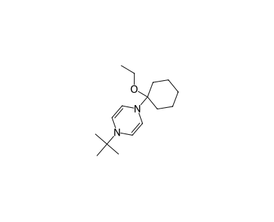 CCOC1(N2C=CN(C(C)(C)C)C=C2)CCCCC1